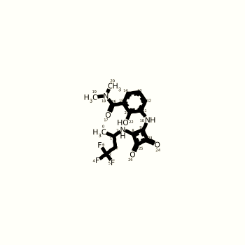 CC(CC(F)(F)F)Nc1c(Nc2cccc(C(=O)N(C)C)c2O)c(=O)c1=O